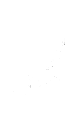 O=C1CC(c2ccc3c(c2)CCNC3)Oc2cc(-c3ccc4ccccc4n3)ccc21